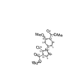 COC(=O)c1ccc(-n2ncc(C(=O)OC(C)(C)C)c2Cl)cc1OC